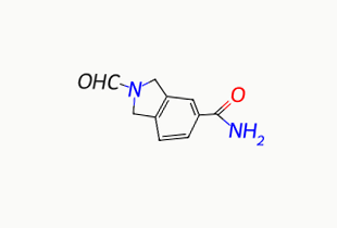 NC(=O)c1ccc2c(c1)CN(C=O)C2